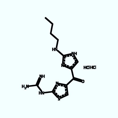 CCCCNc1nc(C(=O)c2csc(NC(=N)N)n2)c[nH]1.Cl.Cl